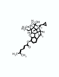 CCC1(OC)[C@@H](C(C)(C)O)C23C[C@]45c6c(ccc(OC(=O)/C=C/C=C(C)C)c6O[C@@H]14)C[C@@H](N2CC1CC1)[C@]35C